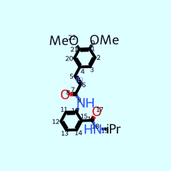 COc1ccc(/C=C/C(=O)Nc2ccccc2C(=O)NC(C)C)cc1OC